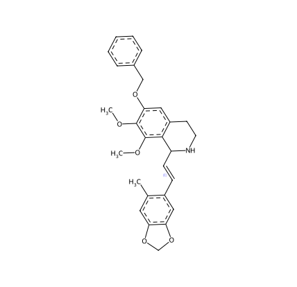 COc1c(OCc2ccccc2)cc2c(c1OC)C(/C=C/c1cc3c(cc1C)OCO3)NCC2